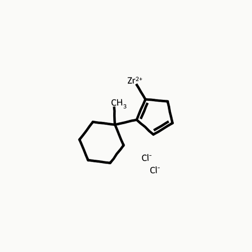 CC1(C2=[C]([Zr+2])CC=C2)CCCCC1.[Cl-].[Cl-]